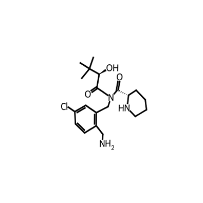 CC(C)(C)[C@@H](O)C(=O)N(Cc1cc(Cl)ccc1CN)C(=O)[C@@H]1CCCCN1